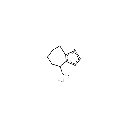 Cl.NC1CCCCc2sccc21